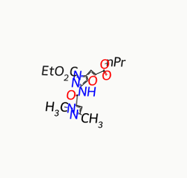 CCCOC(=O)c1cc2c(o1)c(NC(=O)c1cc(C)nn1C)nn2C(=O)OCC